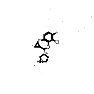 Fc1ccc(F)c(OC(C2CC2)[C@H]2CCNC2)c1Cl